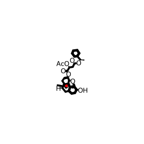 CC(=O)O[C@@H](CC(=O)O[C@H](C)c1ccccc1)C(=O)OC1=CC[C@@]2(O)[C@H]3Cc4ccc(O)c5c4C2(CCN3C)C1O5